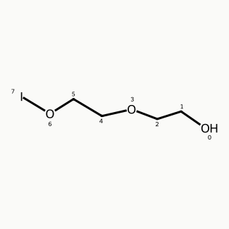 OCCOCCOI